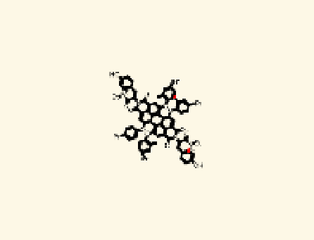 CCN(CC)C(=O)C(Cc1ccc(O)cc1)N1C(=O)c2cc(Oc3ccc(C(C)C)cc3)c3c4c(Oc5ccc(C(C)C)cc5C)cc5c6c(cc(Oc7ccc(C(C)C)cc7C)c(c7c(Oc8ccc(C(C)C)cc8C)cc(c2c37)C1=O)c64)C(=O)N(C(Cc1ccc(O)cc1)C(=O)N(CC)CC)C5=O